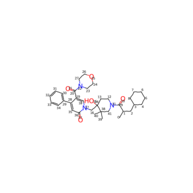 CC(CC1CCCCC1)C(=O)N1CCC(O)(Cn2cc(C(=O)N3CCOCC3)c(-c3ccccc3)cc2=O)C(C)(C)C1